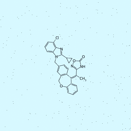 CC(=C1c2ccc(Cn3c(C4CC4)nc4c(Cl)cccc43)cc2COc2ccccc21)c1noc(=O)[nH]1